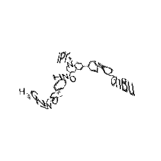 CCCCOCCOc1ccc(-c2ccc3c(c2)C=C(C(=O)Nc2ccc([S+]([O-])Cc4nccn4C)cc2)CCN3CC(C)C)cc1